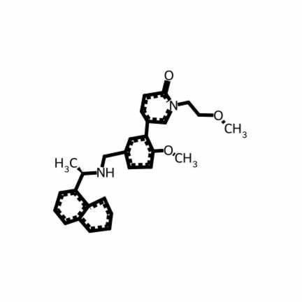 COCCn1cc(-c2cc(CN[C@H](C)c3cccc4ccccc34)ccc2OC)ccc1=O